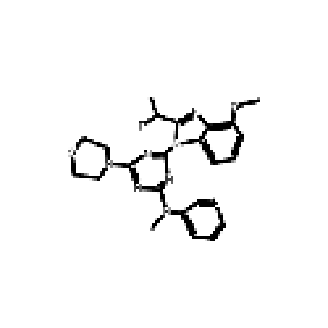 COc1cccc2c1nc(C(F)F)n2-c1nc(N2CCOCC2)nc(N(C)c2cccnc2)n1